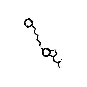 O=C(O)CC1COc2cc(OCCCCCc3ccccc3)ccc21